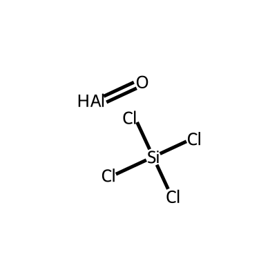 Cl[Si](Cl)(Cl)Cl.[O]=[AlH]